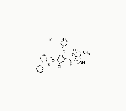 CC(C)OC(=O)[C@H](CO)NCc1cc(Cl)c(OCc2cccc(-c3ccccc3)c2Br)cc1OCc1cccnc1.Cl